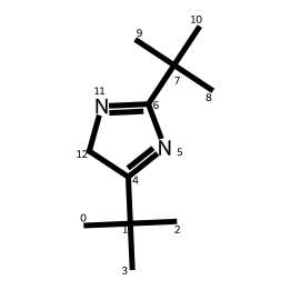 CC(C)(C)C1=NC(C(C)(C)C)=NC1